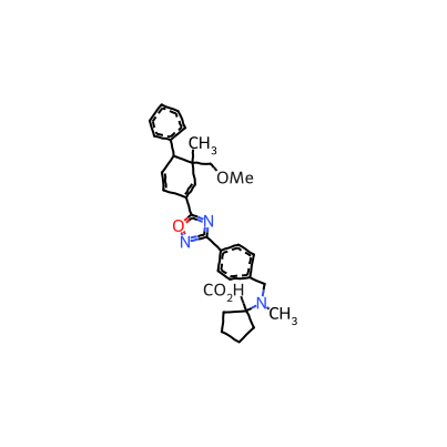 COCC1(C)C=C(c2nc(-c3ccc(CN(C)C4(C(=O)O)CCCC4)cc3)no2)C=CC1c1ccccc1